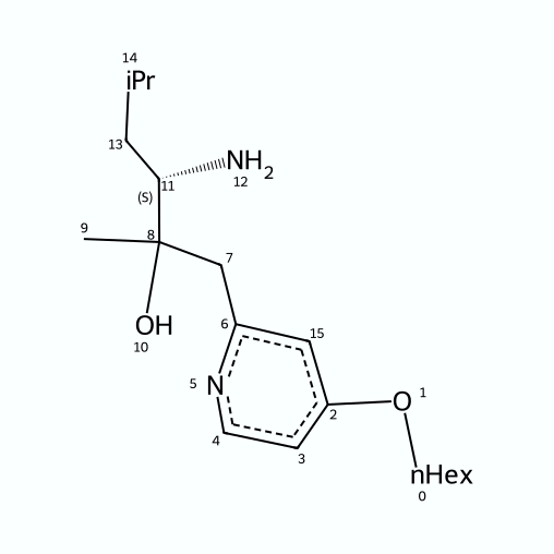 CCCCCCOc1ccnc(CC(C)(O)[C@@H](N)CC(C)C)c1